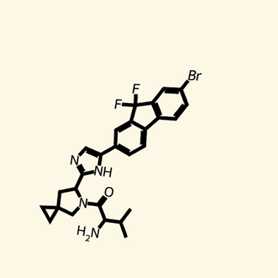 CC(C)C(N)C(=O)N1CC2(CC2)CC1c1ncc(-c2ccc3c(c2)C(F)(F)c2cc(Br)ccc2-3)[nH]1